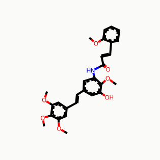 COc1ccccc1/C=C/C(=O)Nc1cc(/C=C/c2cc(OC)c(OC)c(OC)c2)cc(O)c1OC